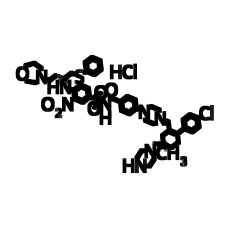 C[C@@]1(CN2CCNCC2)CCC(c2ccc(Cl)cc2)=C(CN2CCN(c3ccc(C(=O)NS(=O)(=O)c4ccc(N[C@H](CCN5CCCOCC5)CSc5ccccc5)c([N+](=O)[O-])c4)cc3)CC2)C1.Cl